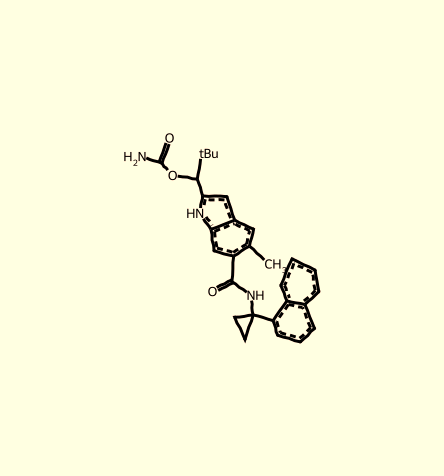 Cc1cc2cc(C(OC(N)=O)C(C)(C)C)[nH]c2cc1C(=O)NC1(c2cccc3ccccc23)CC1